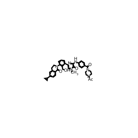 CC(=O)N1CCN(C(=O)c2ccc(Nc3nc(-c4cccc(N5CCc6cc(C7CC7)ccc6C5=O)c4CO)cn(C)c3=O)cc2)CC1